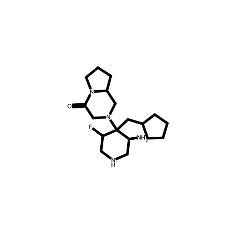 NC1CNCC(F)C1(CC1CCCC1)N1CC(=O)N2CCCC2C1